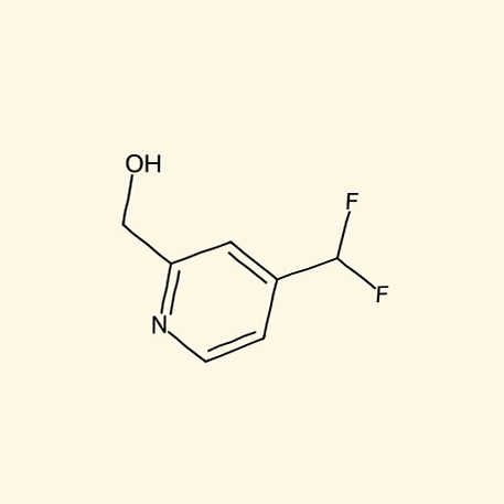 OCc1cc(C(F)F)ccn1